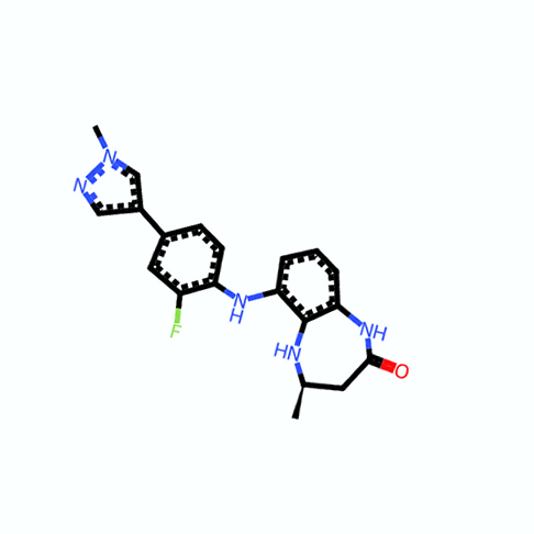 C[C@@H]1CC(=O)Nc2cccc(Nc3ccc(-c4cnn(C)c4)cc3F)c2N1